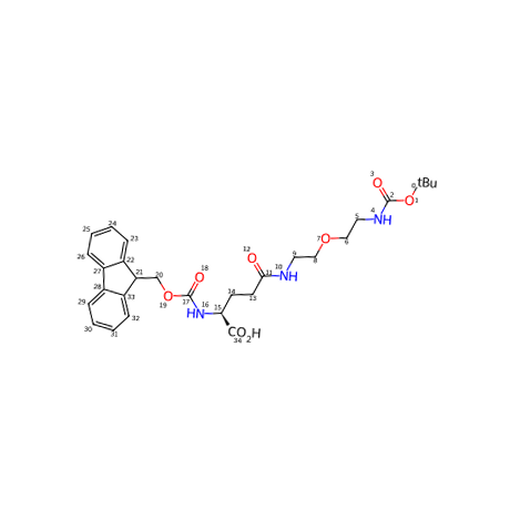 CC(C)(C)OC(=O)NCCOCCNC(=O)CC[C@H](NC(=O)OCC1c2ccccc2-c2ccccc21)C(=O)O